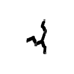 ClCC(OCI)OCI